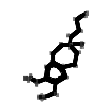 COc1cc2c(cc1OC)CC[N+]([O-])(CCCCl)CC2